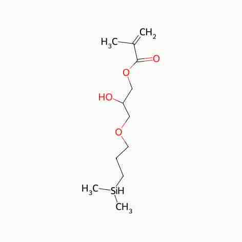 C=C(C)C(=O)OCC(O)COCCC[SiH](C)C